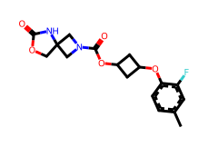 Cc1ccc(OC2CC(OC(=O)N3CC4(COC(=O)N4)C3)C2)c(F)c1